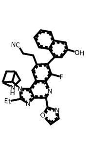 CCc1nc2c(-c3ncco3)nc3c(F)c(-c4cc(O)cc5ccccc45)c(CCC#N)cc3c2n1C1C2CNC1C2